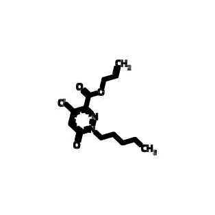 C=CCOC(=O)c1nn(CCCCC)c(=O)cc1Cl